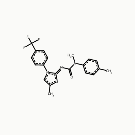 Cc1ccc(N(C)C(=O)N=c2sc(C)cn2-c2ccc(C(F)(F)F)cc2)cc1